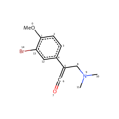 COc1ccc(C(=C=O)CN(C)C)cc1Br